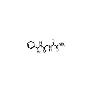 CCCCC(=O)C(=O)NCC(=O)NC(C(C)=O)C1=CC=CCC1